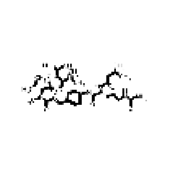 C=[N+](C)C(=O)[C@H](NC(=O)[C@@H](C(C)C)N(C)C(=O)OCc1ccc(NC(=O)[C@@H](CCCNC(N)=O)NC(=O)CC(C)C)cc1)C(C)C